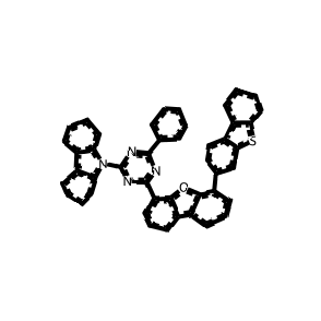 c1ccc(-c2nc(-c3cccc4c3oc3c(-c5ccc6c(c5)sc5ccccc56)cccc34)nc(-n3c4ccccc4c4ccccc43)n2)cc1